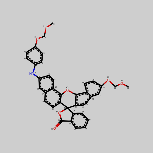 COCOc1ccc(Nc2ccc3c4c(ccc3c2)C2(OC(=O)c3ccccc32)c2ccc3cc(OCOC)ccc3c2O4)cc1